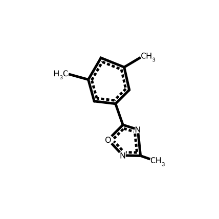 Cc1cc(C)cc(-c2nc(C)no2)c1